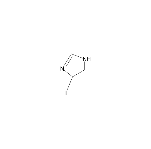 IC1CNC=N1